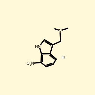 CN(C)Cc1c[nH]c2c([N+](=O)[O-])cccc12.I